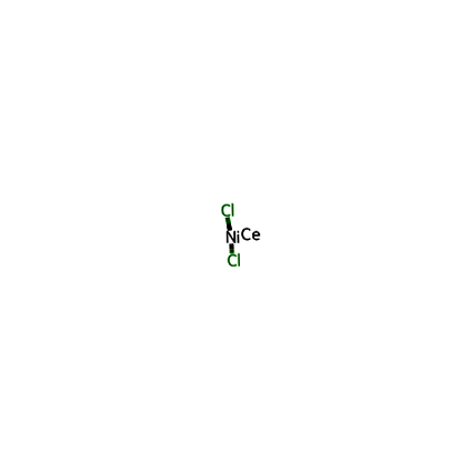 [Ce].[Cl][Ni][Cl]